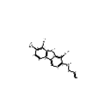 C=CCOc1ccc2c(oc3c(F)c(CC)ccc32)c1F